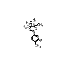 Cc1ccc(B2OC(C)(C)C(C)(C)O2)nc1F